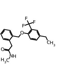 CCc1ccc(OCc2ccccc2CC(=O)NC)c(C(F)(F)F)c1